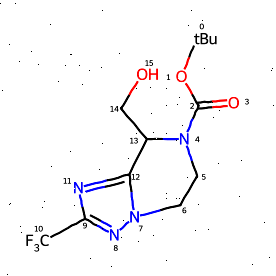 CC(C)(C)OC(=O)N1CCn2nc(C(F)(F)F)nc2C1CO